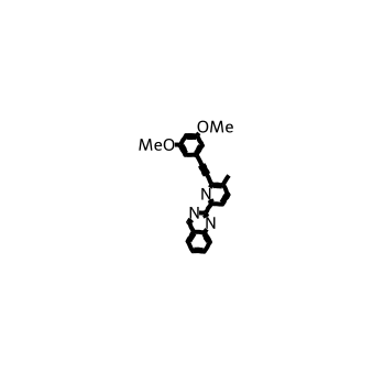 COc1cc(C#Cc2nc(-c3ncc4ccccc4n3)ccc2C)cc(OC)c1